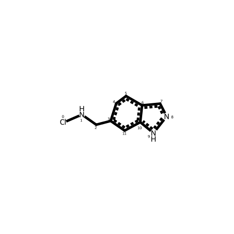 ClNCc1ccc2cn[nH]c2c1